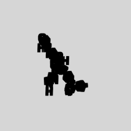 Cc1ccc(C2=C(CN3CC=C(c4ccc(C(=O)NS(=O)(=O)c5ccc(NCC6CCOCC6)nc5)c(Oc5cnc6[nH]ccc6c5)c4)CC3)CCC(C)(C)C2)cc1